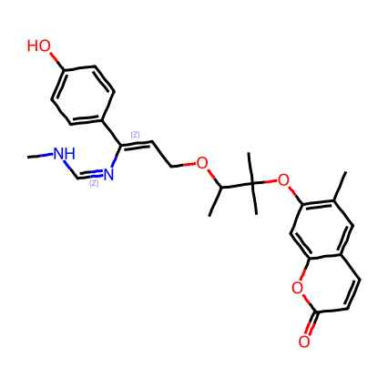 CN/C=N\C(=C/COC(C)C(C)(C)Oc1cc2oc(=O)ccc2cc1C)c1ccc(O)cc1